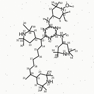 CON1C(C)(C)CC(N(C)c2nc(C(CCCCCCC(C)C3CC(C)(C)NC(C)(C)C3)C3CC(C)(C)NC(C)(C)C3)nc(N(C)C3CC(C)(C)NC(C)(C)C3)n2)CC1(C)C